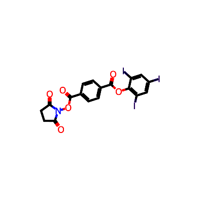 O=C(Oc1c(I)cc(I)cc1I)c1ccc(C(=O)ON2C(=O)CCC2=O)cc1